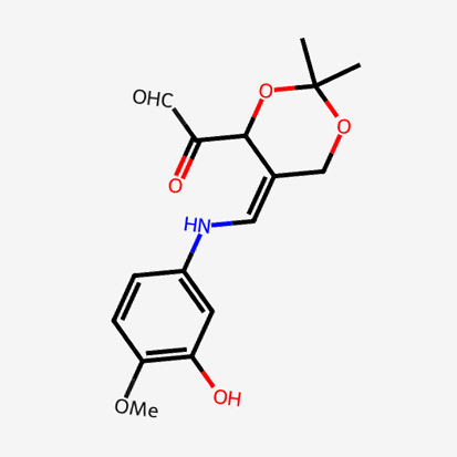 COc1ccc(NC=C2COC(C)(C)OC2C(=O)C=O)cc1O